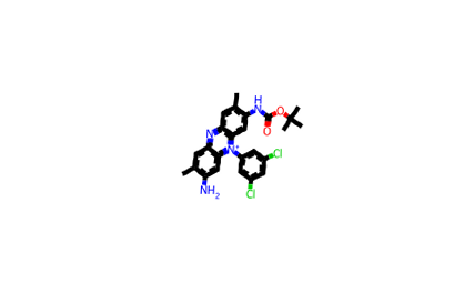 Cc1cc2nc3cc(C)c(NC(=O)OC(C)(C)C)cc3[n+](-c3cc(Cl)cc(Cl)c3)c2cc1N